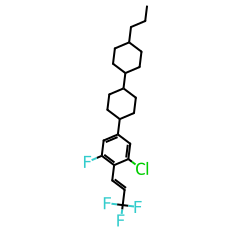 CCCC1CCC(C2CCC(c3cc(F)c(/C=C/C(F)(F)F)c(Cl)c3)CC2)CC1